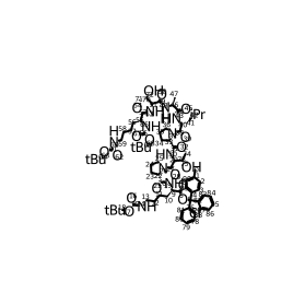 Cc1ccc(C(OC(=O)[C@@H](CCCCNC(=O)OC(C)(C)C)NC(=O)[C@@H]2CCCN2C(=O)[C@@H](NC(=O)[C@H]2CCCN2C(=O)[C@@H](CC(C)C)NC(=O)[C@H](C)NC(=O)C(NC(=O)[C@H](CCCCNC(=O)OC(C)(C)C)NC(=O)OC(C)(C)C)[C@H](C)O)C(C)O)(c2ccccc2)c2ccccc2Cl)cc1